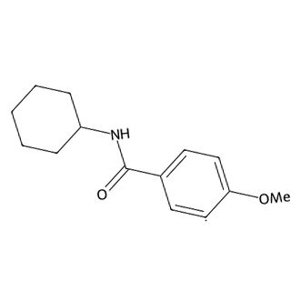 COc1[c]cc(C(=O)NC2CCCCC2)cc1